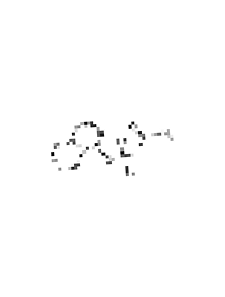 CCC(CC)(CC(N)=O)Oc1cccc2ccccc12